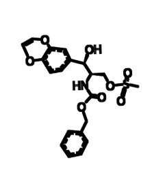 CS(=O)(=O)OC[C@@H](NC(=O)OCc1ccccc1)[C@H](O)c1ccc2c(c1)OC=CO2